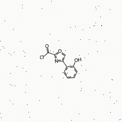 O=C(Cl)c1nc(-c2ccccc2O)co1